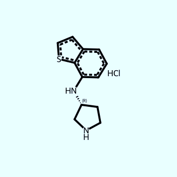 Cl.c1cc(N[C@@H]2CCNC2)c2sccc2c1